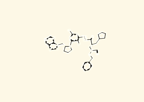 O=CN(C[C@H](CC1CCCC1)C(=O)NNc1nc(Cl)nc(N2CCC[C@H]2Cn2nnc3cncnc32)c1F)OCc1ccccc1